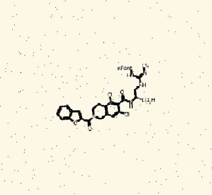 CCCCCN/C(=N\C#N)NC[C@H](NC(=O)c1c(Cl)cc2c(c1Cl)CCN(C(=O)c1cc3ccccc3o1)C2)C(=O)O